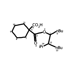 CCCCC(OC(=O)C1(C(=O)O)CCCCC1)C(CCCC)C(C)C